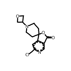 O=C1OC2(CCN(C3COC3)CC2)c2cc(Cl)ncc21